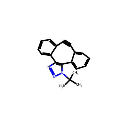 BC(C)(C)n1nnc2c1-c1ccccc1C#Cc1ccccc1-2